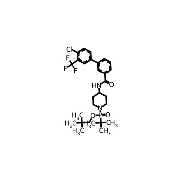 CC(C)(C)COP(=O)(N1CCC(NC(=O)c2cccc(-c3ccc(Cl)c(C(F)(F)F)c3)c2)CC1)C(C)(C)C